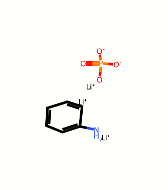 Nc1ccccc1.O=P([O-])([O-])[O-].[Li+].[Li+].[Li+]